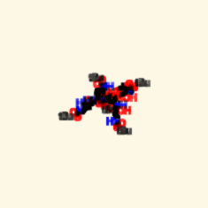 CN(C(=O)OC(C)(C)C)[C@@H]1[C@@H](O)[C@@H](O[C@@H]2[C@@H](O)[C@H](O[C@H]3OC(CNCC4(O)CC(CNC(=O)OC(C)(C)C)C4)=CC[C@H]3NC(=O)OC(C)(C)C)[C@@H](NC(=O)OC(C)(C)C)C[C@H]2NC(=O)[C@@H](O)CCNC(=O)OC(C)(C)C)OC[C@]1(C)O